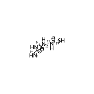 CNC(C)C(=O)NC(C)C(=O)NCCNC(=O)CS